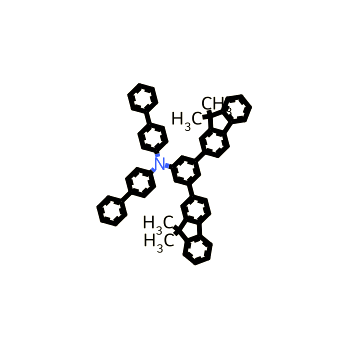 CC1(C)c2ccccc2-c2ccc(-c3cc(-c4ccc5c(c4)C(C)(C)c4ccccc4-5)cc(N(c4ccc(-c5ccccc5)cc4)c4ccc(-c5ccccc5)cc4)c3)cc21